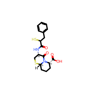 O=C(N[C@H]1CS[C@H]2CCC[C@@H](C(=O)O)N2C1=O)C(S)Cc1ccccc1